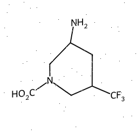 NC1CC(C(F)(F)F)CN(C(=O)O)C1